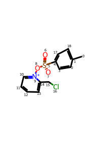 Cc1ccc(S(=O)(=O)O[n+]2ccccc2CCl)cc1